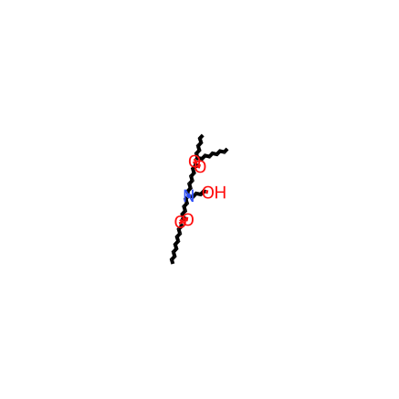 CCCCCCCCCCCOC(=O)CCCCCN(CCCCO)CCCCCCCC(=O)OC(CCCCCC)CCCCCCCC